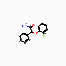 NC(=O)C(Oc1ccccc1F)c1ccccc1